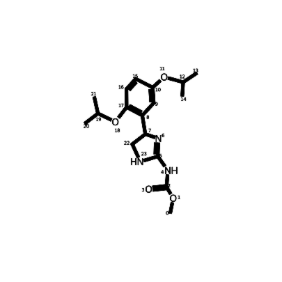 COC(=O)NC1=NC(c2cc(OC(C)C)ccc2OC(C)C)CN1